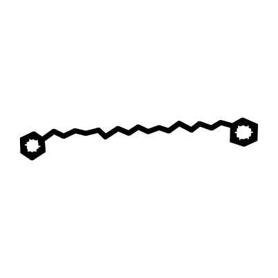 c1ccc(CCCCCCCCCCCCCCCCCc2ccccc2)cc1